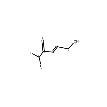 O=C(C=CCO)C(F)F